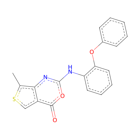 Cc1scc2c(=O)oc(Nc3ccccc3Oc3ccccc3)nc12